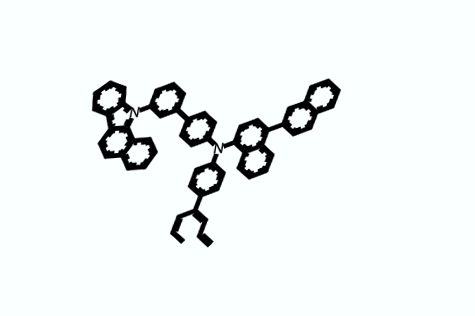 C=C/C=C(\C=C/C)c1ccc(N(c2ccc(-c3cccc(-n4c5ccccc5c5ccc6ccccc6c54)c3)cc2)c2ccc(-c3ccc4ccccc4c3)c3ccccc23)cc1